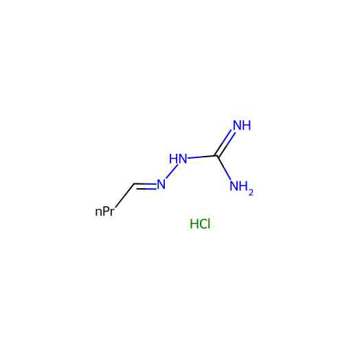 CCCC=NNC(=N)N.Cl